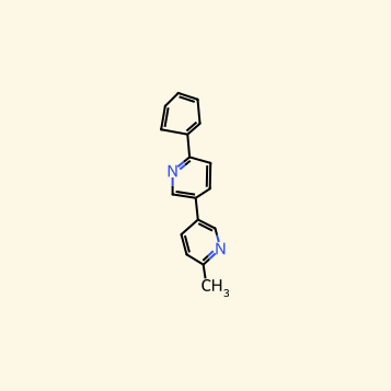 Cc1ccc(-c2ccc(-c3ccccc3)nc2)cn1